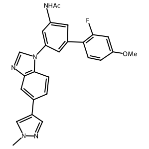 COc1ccc(-c2cc(NC(C)=O)cc(-n3cnc4cc(-c5cnn(C)c5)ccc43)c2)c(F)c1